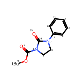 CC(C)(C)OC(=O)N1CCN(c2ccccc2)C1=O